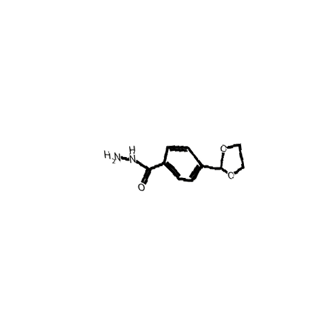 NNC(=O)c1ccc(C2OCCO2)cc1